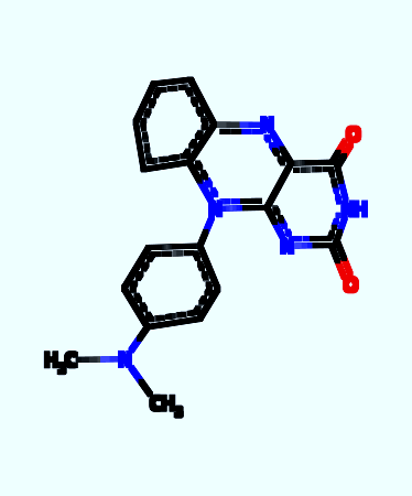 CN(C)c1ccc(-n2c3nc(=O)[nH]c(=O)c-3nc3ccccc32)cc1